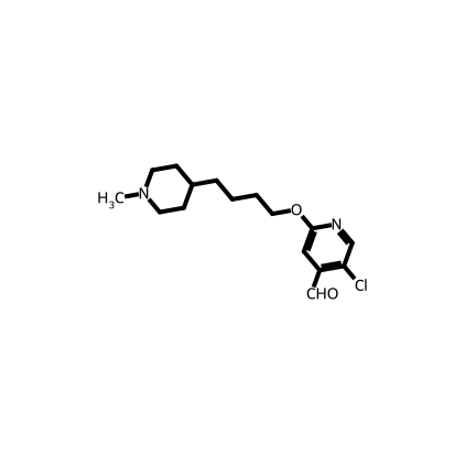 CN1CCC(CCCCOc2cc(C=O)c(Cl)cn2)CC1